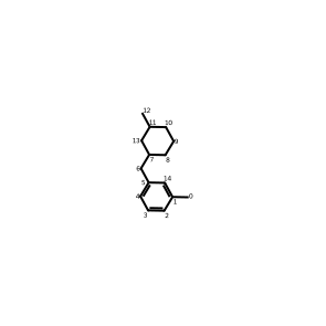 Cc1cccc(CC2CCCC(C)C2)c1